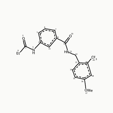 CCC(=O)Nc1cccc(C(=O)NCc2ccc(OC)cc2C(F)(F)F)c1